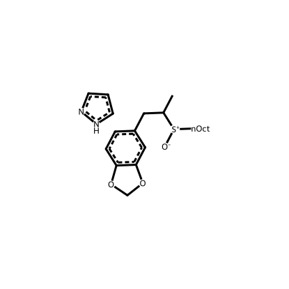 CCCCCCCC[S+]([O-])C(C)Cc1ccc2c(c1)OCO2.c1cn[nH]c1